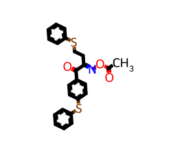 CC(=O)O/N=C(\CCSc1ccccc1)C(=O)c1ccc(Sc2ccccc2)cc1